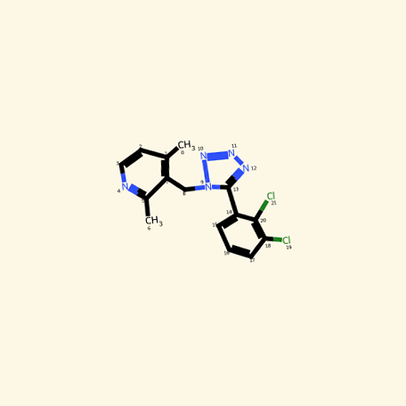 Cc1ccnc(C)c1Cn1nnnc1-c1cccc(Cl)c1Cl